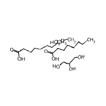 CC(=O)O.CCCCCCCC(=O)O.CCCCCCCC(=O)O.OCC(O)CO